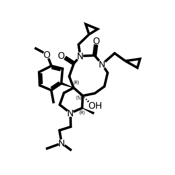 COc1ccc(C)c([C@]23CCN(CCN(C)C)[C@H](C)[C@]2(O)CCCN(CC2CC2)C(=O)N(CC2CC2)C(=O)C3)c1